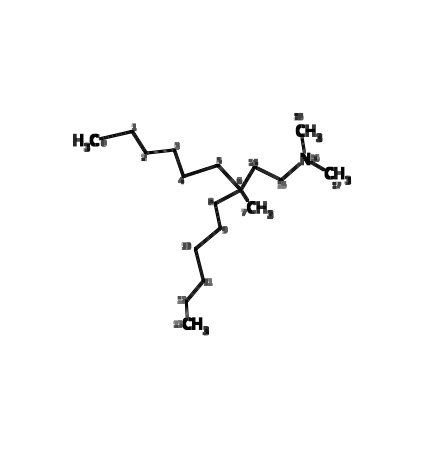 CCCCCCC(C)(CCCCCC)CCN(C)C